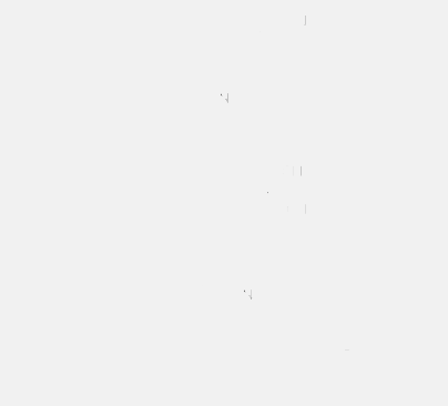 CC1(C)c2cc3c(cc2-c2cc4c(-c5ccccc5)c(-c5ccccc5)n(-c5ccc(F)cc5)c4cc21)c(-c1ccccc1)c(-c1ccccc1)n3-c1ccc(F)cc1